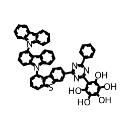 Oc1c(O)c(O)c(-c2nc(-c3ccccc3)nc(-c3ccc4c(c3)sc3cccc(-n5c6ccccc6c6c(-n7c8ccccc8c8ccccc87)cccc65)c34)n2)c(O)c1O